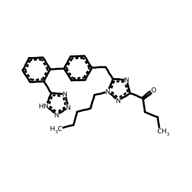 CCCCCn1nc(C(=O)CCC)nc1Cc1ccc(-c2ccccc2-c2nnn[nH]2)cc1